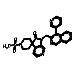 CS(=O)(=O)N1CCC2(CC1)C(=O)N(Cc1ncc3ccccc3c1-c1cccnc1)c1cnccc12